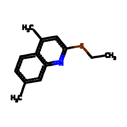 CCSc1cc(C)c2ccc(C)cc2n1